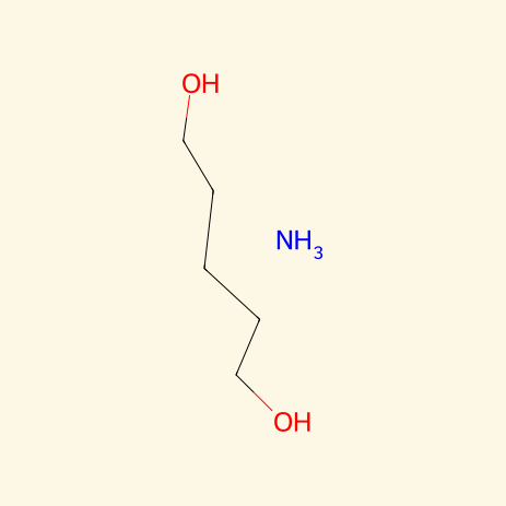 N.OCCCCCO